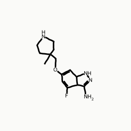 CC1(COC2=CC3NN=C(N)C3C(F)=C2)CCNCC1